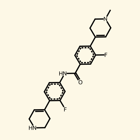 CN1CC=C(c2ccc(C(=O)Nc3ccc(C4=CCNCC4)c(F)c3)cc2F)CC1